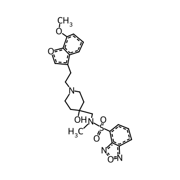 COc1cccc2c(CCN3CCC(O)(CN(C)S(=O)(=O)c4cccc5nonc45)CC3)coc12